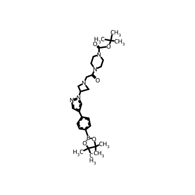 CC(C)(C)OC(=O)N1CCN(C(=O)CN2CC(n3cc(-c4ccc(B5OC(C)(C)C(C)(C)O5)cc4)cn3)C2)CC1